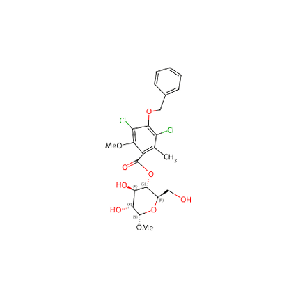 COc1c(Cl)c(OCc2ccccc2)c(Cl)c(C)c1C(=O)O[C@H]1[C@H](O)[C@@H](O)[C@@H](OC)O[C@@H]1CO